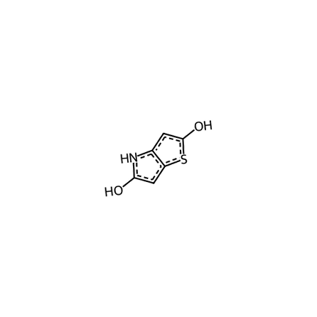 Oc1cc2sc(O)cc2[nH]1